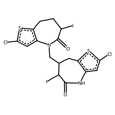 O=C1Nc2cc(Cl)sc2CC(CN2C(=O)C(I)CCc3sc(Cl)cc32)C1I